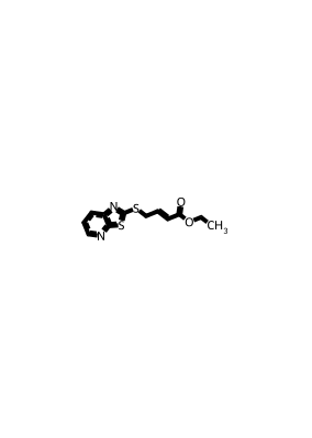 CCOC(=O)/C=C/CSc1nc2cccnc2s1